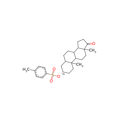 Cc1ccc(S(=O)(=O)O[C@H]2CCC3(C)C(CCC4C5CCC(=O)C5(C)CCC43)C2)cc1